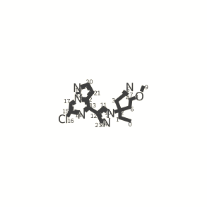 CCC(CC#N)(CCOC)n1cc(-c2nc(Cl)cn3nccc23)cn1